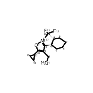 OCc1c([C@@H]2CCCC[C@H]2C(F)(F)F)noc1C1CC1